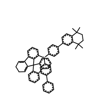 CC1(C)CCC(C)(C)c2cc(-c3ccc(N(c4ccc(-c5ccccc5)cc4)c4cccc5c4C4(C6=CCCC=C65)c5ccccc5-c5ccccc54)cc3)ccc21